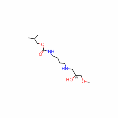 COC[C@@H](O)CNCCCCNC(=O)OCC(C)C